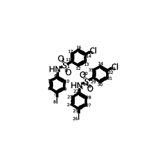 O=S(=O)(Nc1ccc(I)cc1)c1ccc(Cl)cc1.O=S(=O)(Nc1ccc(I)cc1)c1ccc(Cl)cc1